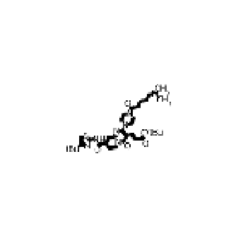 CN(C)CCCCC(=O)N1CCN(c2nc3cc(C(=O)Nc4nc(C(C)(C)C)cs4)ccn3c(=O)c2C=CC(=O)OC(C)(C)C)CC1